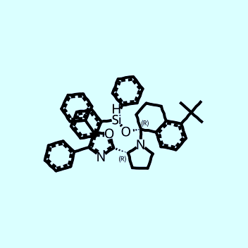 CC(C)(C)c1cccc2c1CCC[C@]2(O[SiH](c1ccccc1)c1ccccc1)N1CCC[C@@H]1c1nc(-c2ccccc2)c(-c2ccccc2)o1